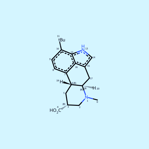 CN1C[C@H](C(=O)O)C[C@@H]2c3ccc(C(C)(C)C)c4[nH]cc(c34)C[C@H]21